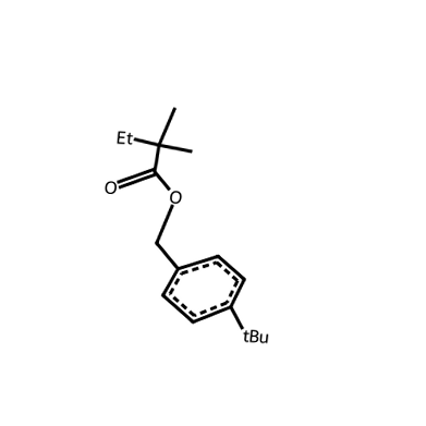 CCC(C)(C)C(=O)OCc1ccc(C(C)(C)C)cc1